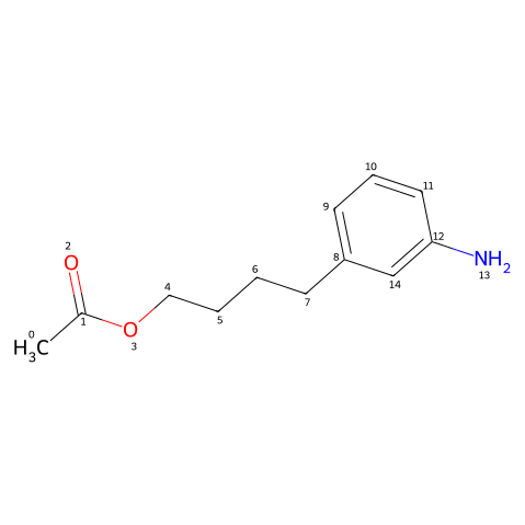 CC(=O)OCCCCc1cccc(N)c1